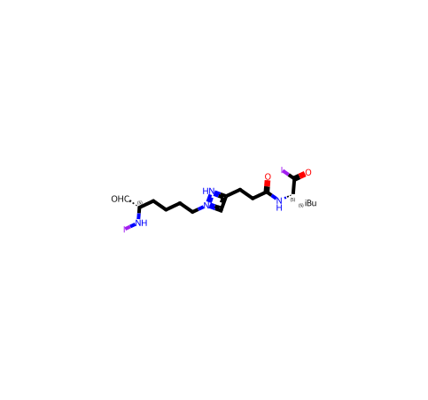 CC[C@H](C)[C@H](NC(=O)CCc1cn(CCCC[C@@H](C=O)NI)[nH]1)C(=O)I